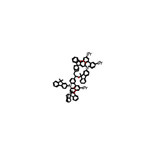 CC(C)c1cc(-c2cc(C(C)C)ccc2N(c2ccc3c(c2)C(C)(C)c2ccccc2-3)c2ccc3c(c2)C2(CC4CC2CC4CC(C)c2ccc(N(c4ccc5c(c4)C(C)(C)c4ccccc4-5)c4ccc5c(c4)C4(c6ccccc6-5)C5CC6CC(C5)C4C6)c(-c4cc(C(C)C)cc(C(C)C)c4)c2)c2ccccc2-3)cc(C(C)C)c1